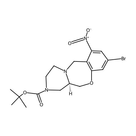 CC(C)(C)OC(=O)N1CCN2Cc3c(cc(Br)cc3[N+](=O)[O-])OC[C@H]2C1